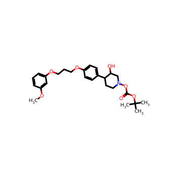 COc1cccc(OCCCOc2ccc(C3CCN(OC(=O)OC(C)(C)C)CC3O)cc2)c1